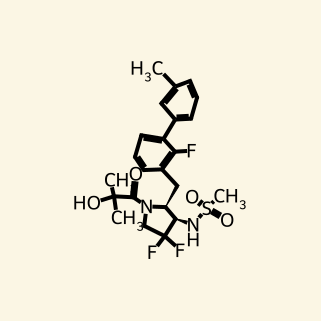 Cc1cccc(-c2cccc(C[C@H]3[C@@H](NS(C)(=O)=O)C(F)(F)CN3C(=O)C(C)(C)O)c2F)c1